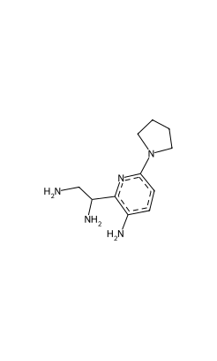 NCC(N)c1nc(N2CCCC2)ccc1N